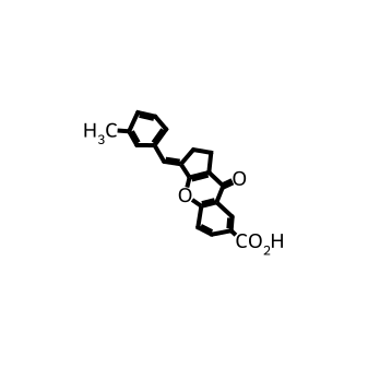 Cc1cccc(/C=C2\CCc3c2oc2ccc(C(=O)O)cc2c3=O)c1